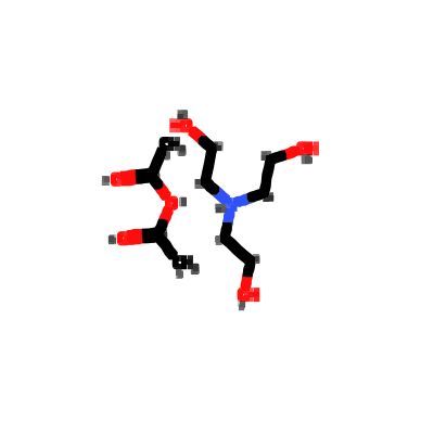 CC(=O)OC(C)=O.OCCN(CCO)CCO